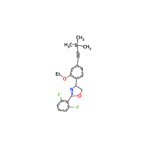 CCOc1cc(C#C[Si](C)(C)C)ccc1C1COC(c2c(F)cccc2F)=N1